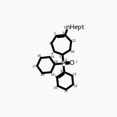 CCCCCCCC1=CCCC(P(=O)(C2=CCCCC2)C2CCCCC2)CC1